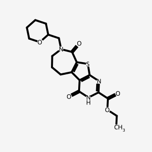 CCOC(=O)c1nc2sc3c(c2c(=O)[nH]1)CCCN(CC1CCCCO1)C3=O